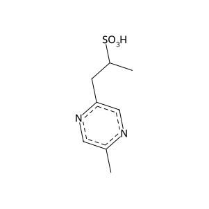 Cc1cnc(CC(C)S(=O)(=O)O)cn1